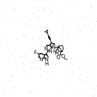 CCOC(=O)[C@@H]1C2CCC(CC2)[C@H]1n1cc(C#CC2CC2)c2cnc(-c3c[nH]c4ncc(F)cc34)nc21